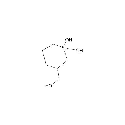 OCC1CCCS(O)(O)C1